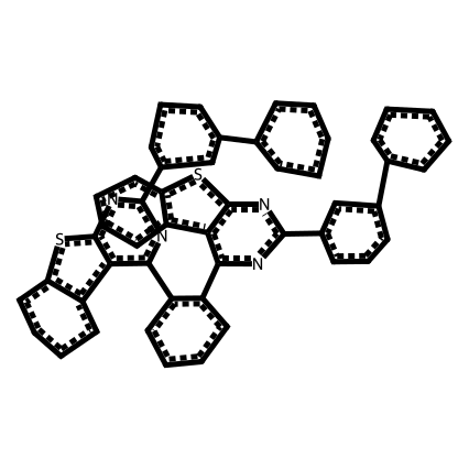 c1ccc(-c2cccc(-c3nc(-c4ccccc4-c4nc(-c5cccc(-c6ccccc6)c5)nc5sc6ccccc6c45)c4c(n3)sc3ccccc34)c2)cc1